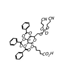 N#CCCOP(=O)(OCCC#N)OCC1O[C@H](OCCCCC(=O)O)C(OC(=O)c2ccccc2)[C@@H](OC(=O)c2ccccc2)[C@@H]1OC(=O)c1ccccc1